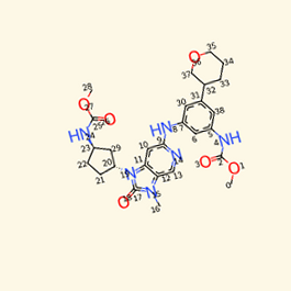 COC(=O)Nc1cc(Nc2cc3c(cn2)n(C)c(=O)n3[C@@H]2CC[C@@H](NC(=O)OC)C2)cc(C2CCCOC2)c1